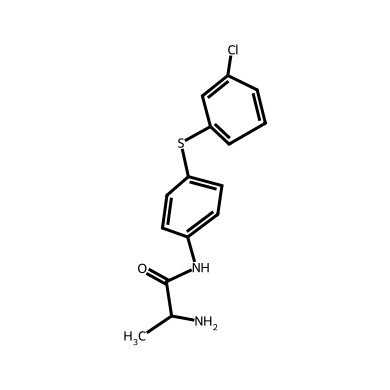 CC(N)C(=O)Nc1ccc(Sc2cccc(Cl)c2)cc1